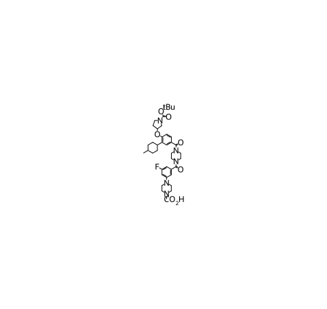 CC1CCC(c2cc(C(=O)N3CCN(C(=O)c4cc(F)cc(N5CCN(C(=O)O)CC5)c4)CC3)ccc2OC2CCN(C(=O)OC(C)(C)C)C2)CC1